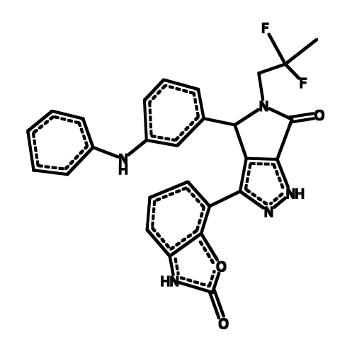 CC(F)(F)CN1C(=O)c2[nH]nc(-c3cccc4[nH]c(=O)oc34)c2C1c1cccc(Nc2ccccc2)c1